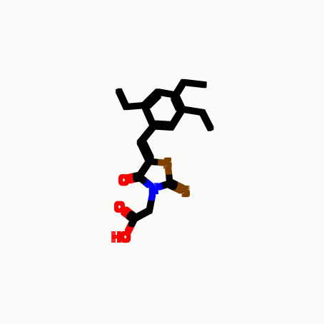 CCc1cc(CC)c(CC)cc1C=C1SC(=S)N(CC(=O)O)C1=O